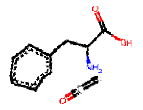 N[C@@H](Cc1ccccc1)C(=O)O.[C]=C=O